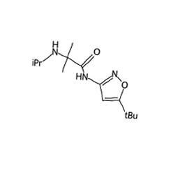 CC(C)NC(C)(C)C(=O)Nc1cc(C(C)(C)C)on1